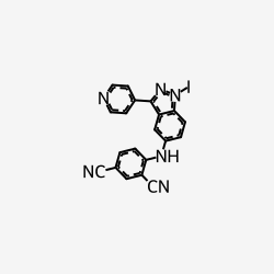 N#Cc1ccc(Nc2ccc3c(c2)c(-c2ccncc2)nn3I)c(C#N)c1